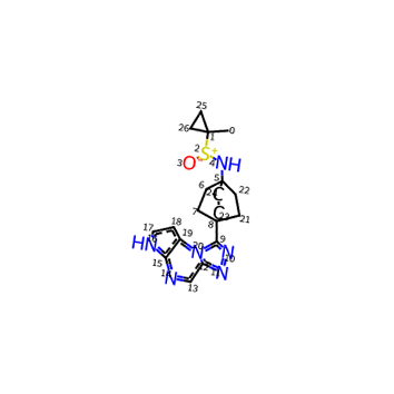 CC1([S+]([O-])NC23CCC(c4nnc5cnc6[nH]ccc6n45)(CC2)CC3)CC1